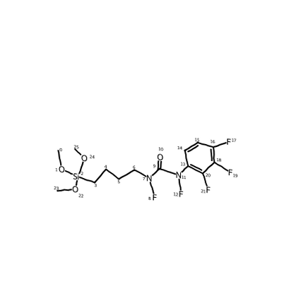 CO[Si](CCCCN(F)C(=O)N(F)c1ccc(F)c(F)c1F)(OC)OC